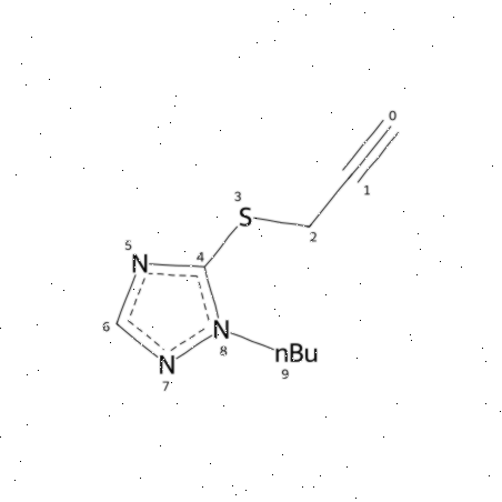 C#CCSc1ncnn1CCCC